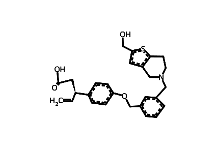 C=C[C@@H](CC(=O)O)c1ccc(OCc2cccc(CN3CCc4sc(CO)cc4C3)c2)cc1